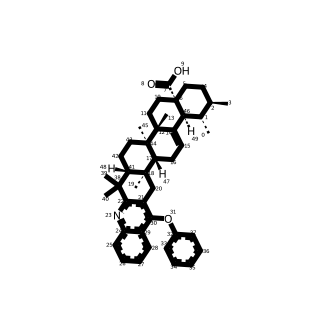 C[C@H]1[C@H](C)CC[C@]2(C(=O)O)CC[C@]3(C)C(=CC[C@@H]4[C@@]5(C)Cc6c(nc7ccccc7c6Oc6ccccc6)C(C)(C)[C@@H]5CC[C@]43C)[C@H]12